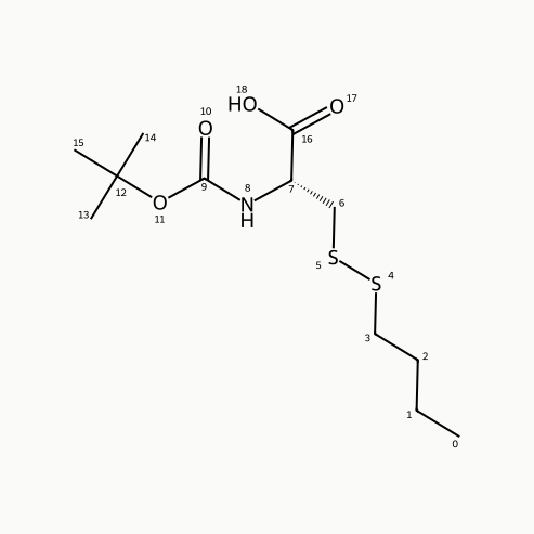 CCCCSSC[C@H](NC(=O)OC(C)(C)C)C(=O)O